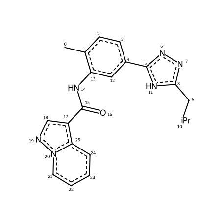 Cc1ccc(-c2nnc(CC(C)C)[nH]2)cc1NC(=O)c1cnn2ccccc12